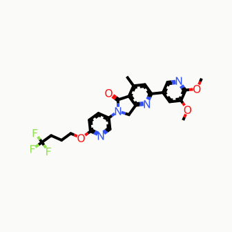 COc1cc(-c2cc(C)c3c(n2)CN(c2ccc(OCCCC(F)(F)F)nc2)C3=O)cnc1OC